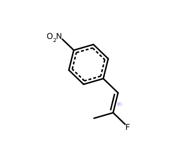 C/C(F)=C\c1ccc([N+](=O)[O-])cc1